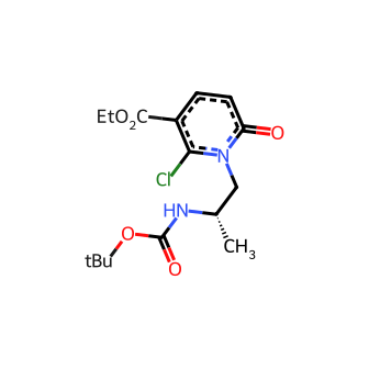 CCOC(=O)c1ccc(=O)n(C[C@H](C)NC(=O)OC(C)(C)C)c1Cl